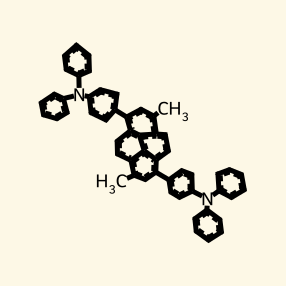 Cc1cc(-c2ccc(N(c3ccccc3)c3ccccc3)cc2)c2ccc3c(C)cc(-c4ccc(N(c5ccccc5)c5ccccc5)cc4)c4ccc1c2c34